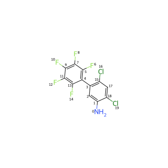 Nc1cc(-c2c(F)c(F)c(F)c(F)c2F)c(Cl)cc1Cl